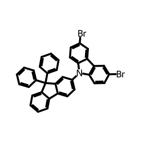 Brc1ccc2c(c1)c1cc(Br)ccc1n2-c1ccc2c(c1)C(c1ccccc1)(c1ccccc1)c1ccccc1-2